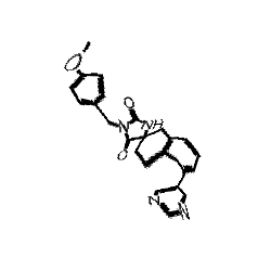 COc1ccc(CN2C(=O)NC3(CCc4c(cccc4-c4cncnc4)C3)C2=O)cc1